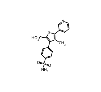 Cc1c(-c2cccnc2)sc(C(=O)O)c1-c1ccc(S(N)(=O)=O)cc1